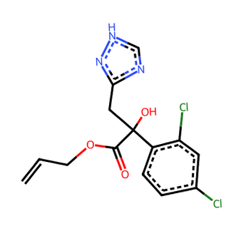 C=CCOC(=O)C(O)(Cc1nc[nH]n1)c1ccc(Cl)cc1Cl